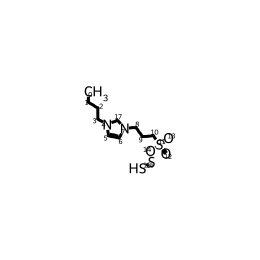 CCCCN1C=CN(CCCS(=O)(=O)OSS)C1